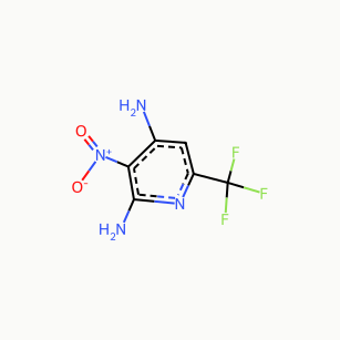 Nc1cc(C(F)(F)F)nc(N)c1[N+](=O)[O-]